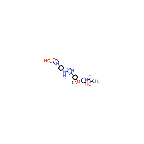 CC(O)C(=O)N1CCC(Oc2ccc(-c3ncnc(Nc4ccc(N5CCO[C@@H](CO)C5)cc4)n3)cc2C#N)CC1